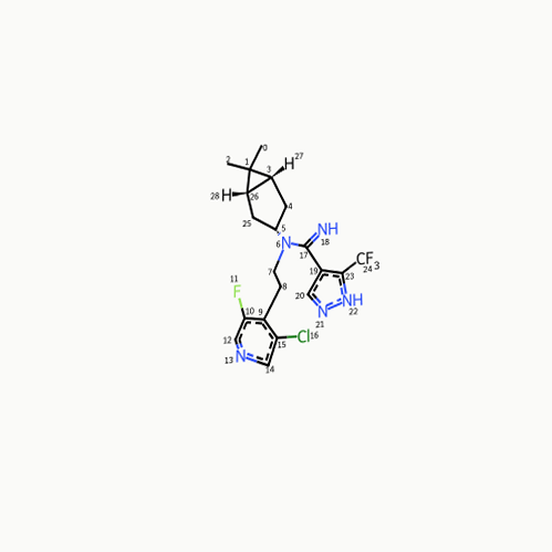 CC1(C)[C@@H]2C[C@H](N(CCc3c(F)cncc3Cl)C(=N)c3cn[nH]c3C(F)(F)F)C[C@@H]21